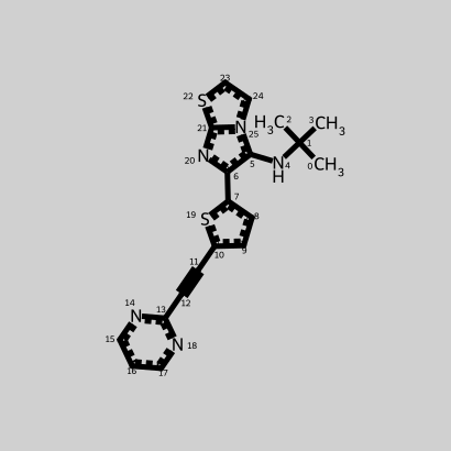 CC(C)(C)Nc1c(-c2ccc(C#Cc3ncccn3)s2)nc2sccn12